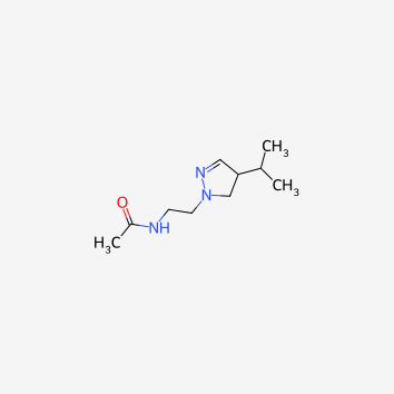 CC(=O)NCCN1CC(C(C)C)C=N1